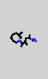 CC(N)CC(C)C(C)N1CCCCCC(C)C1